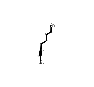 CCC#CCCCCCCCC